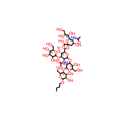 CCCCO[C@@H]1OC(CO)[C@@H](O[C@@H]2OC(CO)[C@H](O)C(O[C@@H]3OC(CO[C@]4(C(=O)O)CC(O)[C@@H](NC(C)=O)C([C@H](O)[C@H](O)CO)O4)[C@@H](O)C(O[C@@H]4OC(CO)[C@H](O)C(O)C4O)C3NC(C)=O)C2O)C(O)C1O